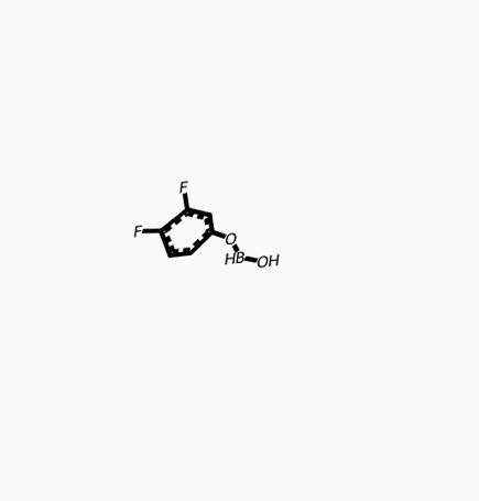 OBOc1ccc(F)c(F)c1